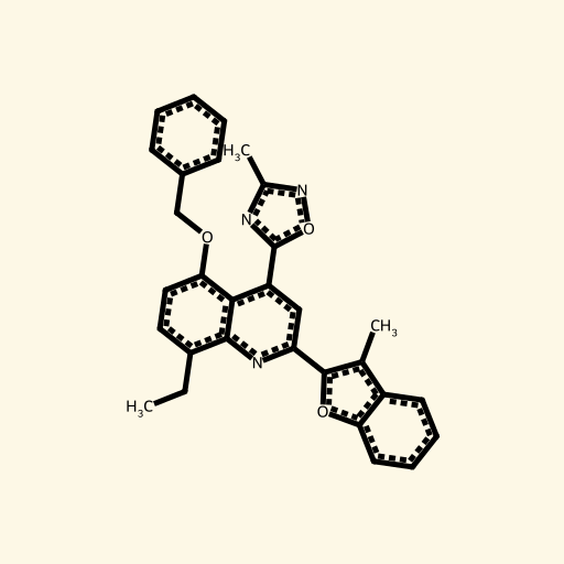 CCc1ccc(OCc2ccccc2)c2c(-c3nc(C)no3)cc(-c3oc4ccccc4c3C)nc12